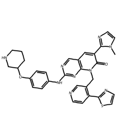 Cn1ccnc1-c1cc2cnc(Nc3ccc(OC4CCCNC4)cc3)nc2n(Cc2cnccc2-c2nccs2)c1=O